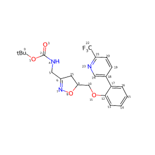 CC(C)(C)OC(=O)NCC1=NOC(COc2ccccc2-c2ccc(C(F)(F)F)nc2)C1